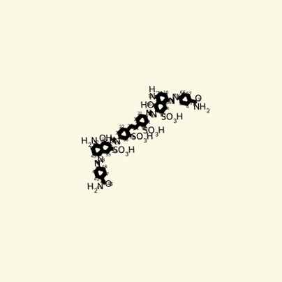 NC(=O)c1ccc(N=Nc2ccc(N)c3c(O)c(N=Nc4ccc(/C=C/c5ccc(N=Nc6c(S(=O)(=O)O)cc7c(N=Nc8ccc(C(N)=O)cc8)ccc(N)c7c6O)cc5S(=O)(=O)O)c(S(=O)(=O)O)c4)c(S(=O)(=O)O)cc23)cc1